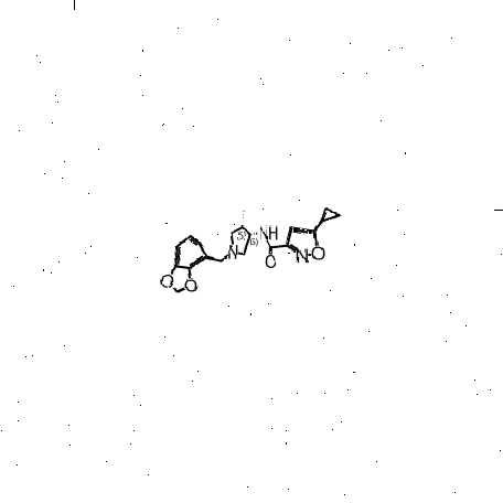 C[C@H]1CN(Cc2cccc3c2OCO3)C[C@H]1NC(=O)c1cc(C2CC2)on1